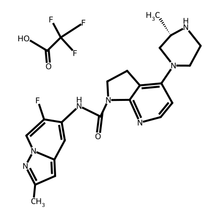 Cc1cc2cc(NC(=O)N3CCc4c(N5CCN[C@@H](C)C5)ccnc43)c(F)cn2n1.O=C(O)C(F)(F)F